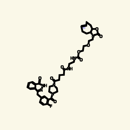 O=C(CCCC(=O)N1CCN(C(=O)c2cc(Cc3n[nH]c(=O)c4ccccc34)ccc2F)CC1)NCCNC(=O)OCCOCCN1C(=O)OC2CC/C=C/CCC21